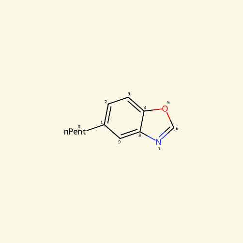 [CH2]CCCCc1ccc2ocnc2c1